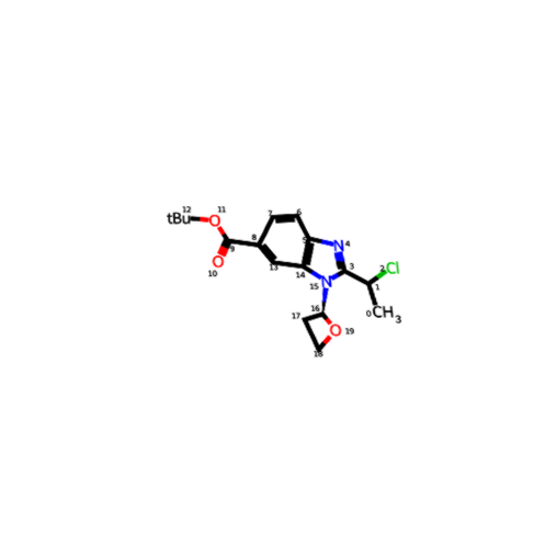 CC(Cl)c1nc2ccc(C(=O)OC(C)(C)C)cc2n1[C@@H]1CCO1